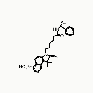 C/C=C1/N(CCCCCC(=O)NC(C(C)=O)c2ccccc2)c2ccc3c(S(=O)(=O)O)cccc3c2C1(C)C